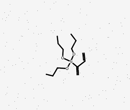 C=CC(=C)[Si](OCCC)(OCCC)OCCC